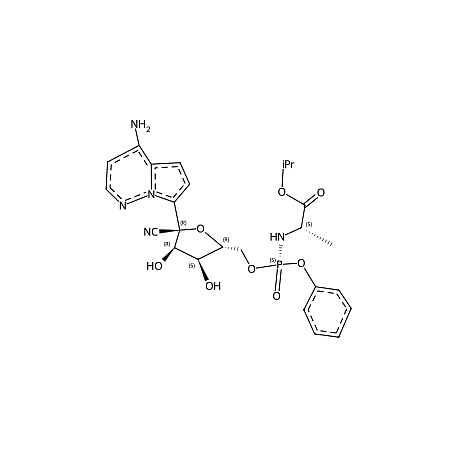 CC(C)OC(=O)[C@H](C)N[P@](=O)(OC[C@H]1O[C@@](C#N)(c2ccc3c(N)ccnn23)[C@H](O)[C@@H]1O)Oc1ccccc1